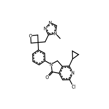 Cn1cnnc1CC1(c2cccc(N3Cc4c(cc(Cl)nc4C4CC4)C3=O)c2)COC1